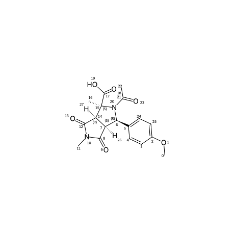 COc1ccc([C@H]2[C@H]3C(=O)N(C)C(=O)[C@H]3[C@@](C)(C(=O)O)N2C(C)=O)cc1